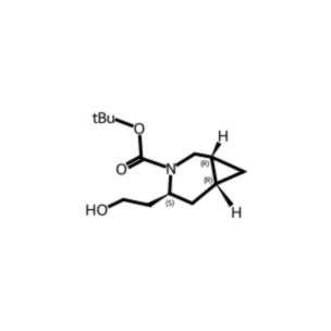 CC(C)(C)OC(=O)N1C[C@@H]2C[C@@H]2C[C@H]1CCO